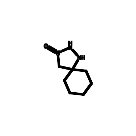 O=[N+]1CC2(CCCCC2)NN1